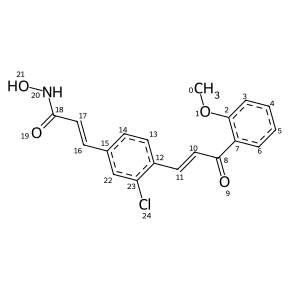 COc1ccccc1C(=O)C=Cc1ccc(C=CC(=O)NO)cc1Cl